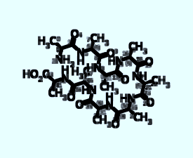 C[C@H](N)C(=O)N[C@@H](C)C(=O)N[C@@H](C)C(=O)N[C@@H](C)C(=O)N[C@@H](C)C(=O)N[C@@H](C)C(=O)N[C@@H](C)C(=O)N[C@@H](C)C(=O)N[C@@H](C)C(=O)O